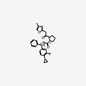 Cc1coc(CC(=O)N2CCC[C@H]2C(=O)N[C@@H](c2ccccc2)c2ccc(C3CC3)c(F)n2)n1